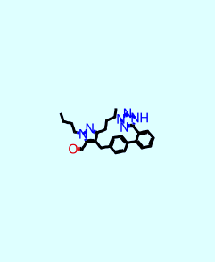 CCCCc1nn(CCCC)c(C=O)c1Cc1ccc(-c2ccccc2-c2nnn[nH]2)cc1